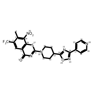 Cc1c(C(F)(F)F)cc2c(=O)nc(N3CCC(c4nc(-c5ccncc5)no4)CC3)sc2c1[N+](=O)[O-]